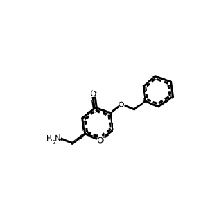 NCc1cc(=O)c(OCc2ccccc2)co1